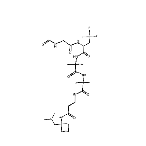 CN(C)CC1(NC(=O)CCNC(=O)C(C)(C)NC(=O)C(C)(C)NC(=O)C(CC(F)(F)F)NC(=O)CNC=O)CCC1